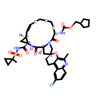 Cc1nc2ccc(Cl)cc2c2c1O[C@]1(CC2)C[C@H]2C(=O)N[C@]3(C(=O)NS(=O)(=O)C4(C)CC4)C[C@H]3/C=C\CCCCC[C@H](NC(=O)OCC3CCCC3)C(=O)N2C1